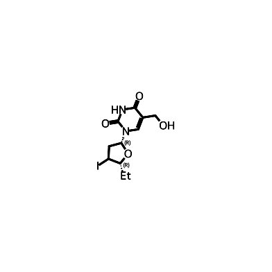 CC[C@H]1O[C@@H](n2cc(CO)c(=O)[nH]c2=O)CC1I